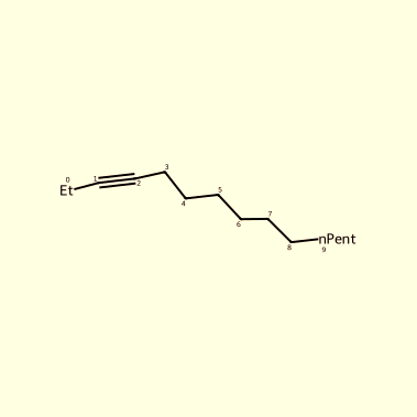 [CH2]CC#CCCCCCCCCCC[CH2]